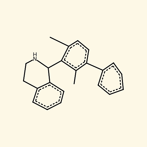 Cc1ccc(-c2ccccc2)c(C)c1C1NCCc2ccccc21